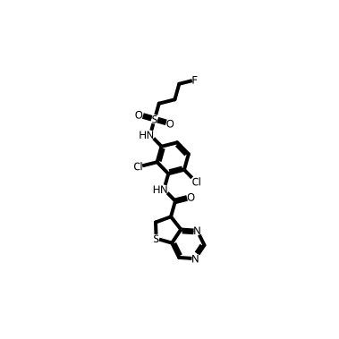 O=C(Nc1c(Cl)ccc(NS(=O)(=O)CCCF)c1Cl)C1CSc2cncnc21